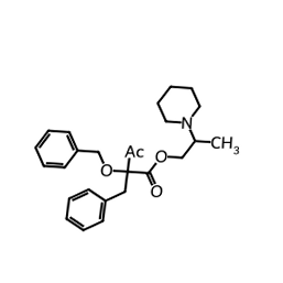 CC(=O)C(Cc1ccccc1)(OCc1ccccc1)C(=O)OCC(C)N1CCCCC1